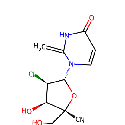 C=C1NC(=O)C=CN1[C@@H]1O[C@](C#N)(CO)[C@@H](O)[C@H]1Cl